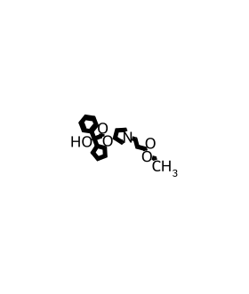 CCOC(=O)CCN1CC[C@@H](OC(=O)[C@](O)(c2ccccc2)C2CCCC2)C1